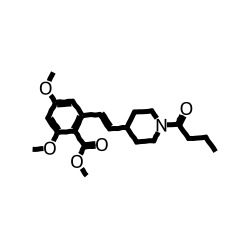 CCCC(=O)N1CCC(C=Cc2cc(OC)cc(OC)c2C(=O)OC)CC1